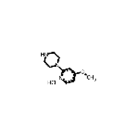 COc1ccnc(N2CCNCC2)c1.Cl